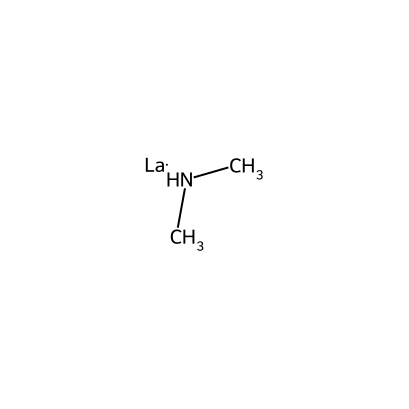 CNC.[La]